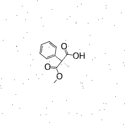 COC(=O)[C@](C)(C(=O)O)c1ccccc1